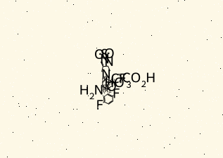 CC(O)C(=O)O.CS(=O)(=O)n1cc2c(n1)CN([C@@H]1C[C@H](N)[C@@H](c3cc(F)ccc3F)O[C@@H]1C(F)(F)F)C2